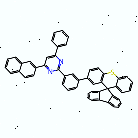 c1ccc(-c2cc(-c3ccc4ccccc4c3)nc(-c3cccc(-c4ccc5c(c4)C4(c6ccccc6S5)c5ccccc5-c5ccccc54)c3)n2)cc1